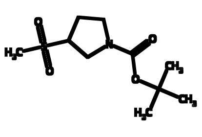 CC(C)(C)OC(=O)N1CCC(S(C)(=O)=O)C1